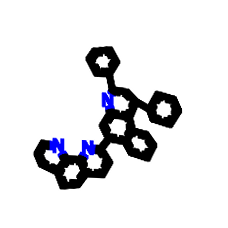 c1ccc(-c2cc(-c3ccccc3)c3c(cc(-c4ccc5ccc6cccnc6c5n4)c4ccccc43)n2)cc1